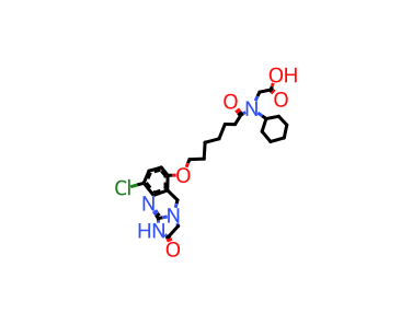 O=C(O)CN(C(=O)CCCCCCOc1ccc(Cl)c2c1CN1CC(=O)NC1=N2)C1CCCCC1